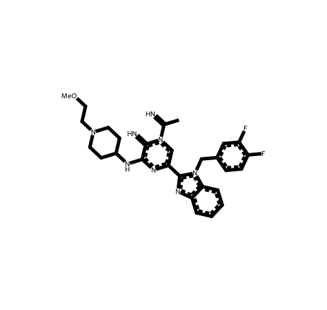 COCCN1CCC(Nc2nc(-c3nc4ccccc4n3Cc3ccc(F)c(F)c3)cn(C(C)=N)c2=N)CC1